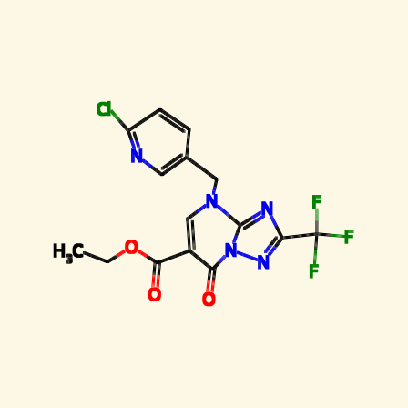 CCOC(=O)c1cn(Cc2ccc(Cl)nc2)c2nc(C(F)(F)F)nn2c1=O